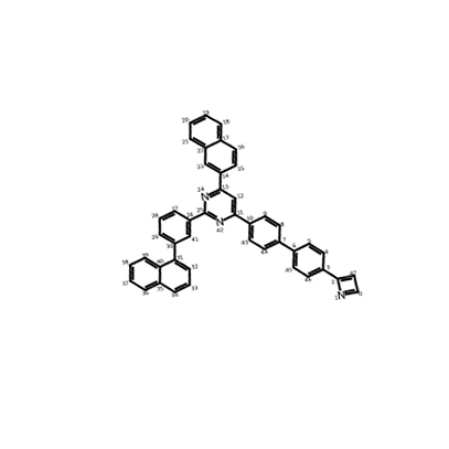 C1=NC(c2ccc(-c3ccc(-c4cc(-c5ccc6ccccc6c5)nc(-c5cccc(-c6cccc7ccccc67)c5)n4)cc3)cc2)=C1